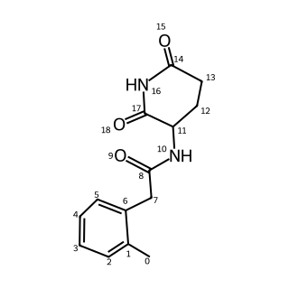 Cc1ccccc1CC(=O)NC1CCC(=O)NC1=O